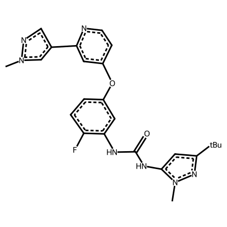 Cn1cc(-c2cc(Oc3ccc(F)c(NC(=O)Nc4cc(C(C)(C)C)nn4C)c3)ccn2)cn1